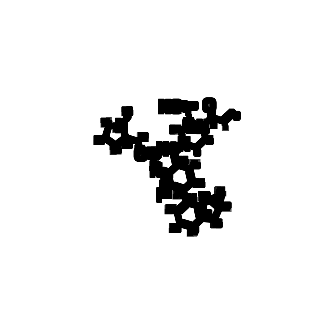 C=CC(=O)N1CCN(c2nc(OCC3CCCN3C)nc3c(F)c(-c4cccc5c4C4CC4C5)ccc23)C[C@@H]1CC#N